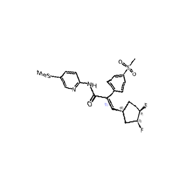 CSc1ccc(NC(=O)/C(=C/[C@H]2C[C@@H](F)[C@@H](F)C2)c2ccc(S(C)(=O)=O)cc2)nc1